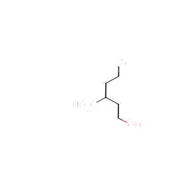 CC(C)CCC(CCO)C(=O)O